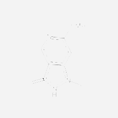 CSc1cc2c(cn1)c(=O)[nH]n2C